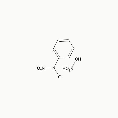 O=S(=O)(O)O.O=[N+]([O-])N(Cl)c1ccccc1